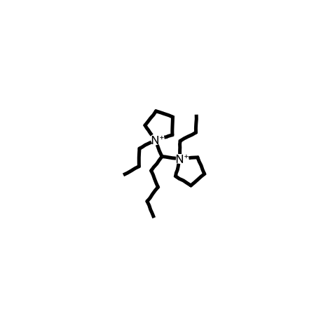 CCCCC([N+]1(CCC)CCCC1)[N+]1(CCC)CCCC1